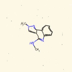 CNc1nc2ccccc2c2nn(C)cc12